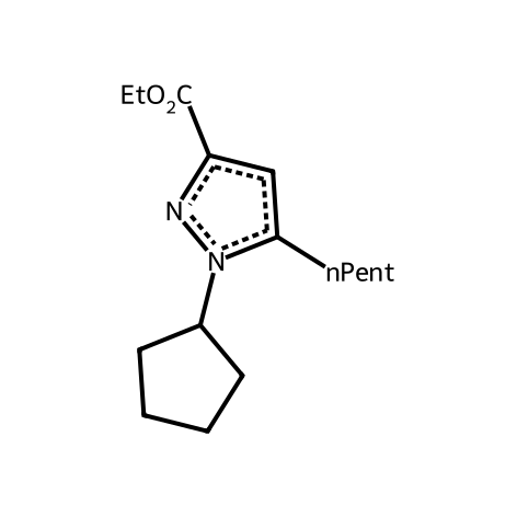 CCCCCc1cc(C(=O)OCC)nn1C1CCCC1